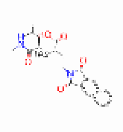 CNC(=O)[C@@H](CC(C)C)[AsH]C(CCN1C(=O)c2cc3ccccc3cc2C1=O)C(=O)O